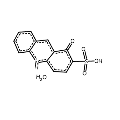 O.O=c1c2cc3ccccc3[nH]c-2ccc1S(=O)(=O)O